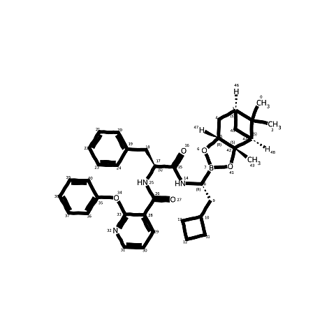 CC1(C)[C@@H]2C[C@H]3OB([C@H](CC4CCC4)NC(=O)[C@H](Cc4ccccc4)NC(=O)c4cccnc4Oc4ccccc4)O[C@@]3(C)[C@H]1C2